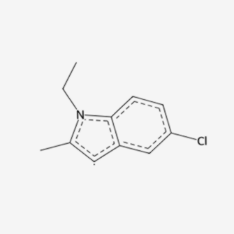 CCn1c(C)[c]c2cc(Cl)ccc21